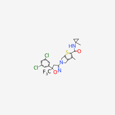 Cc1c(C(=O)NC2(C)CC2)sc2c1CN(C1=NOC(c3cc(Cl)cc(Cl)c3)(C(F)(F)F)C1)C2